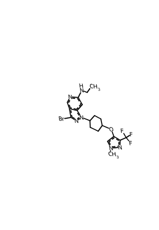 CCNc1cc2c(cn1)c(Br)nn2C1CCC(Oc2cn(C)nc2C(F)(F)F)CC1